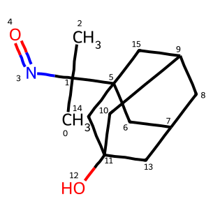 CC(C)(N=O)C12CC3CC(CC(O)(C3)C1)C2